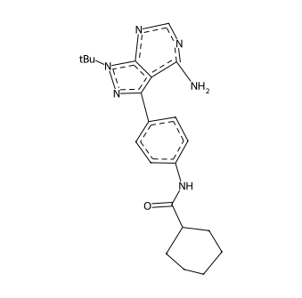 CC(C)(C)n1nc(-c2ccc(NC(=O)C3CCCCC3)cc2)c2c(N)ncnc21